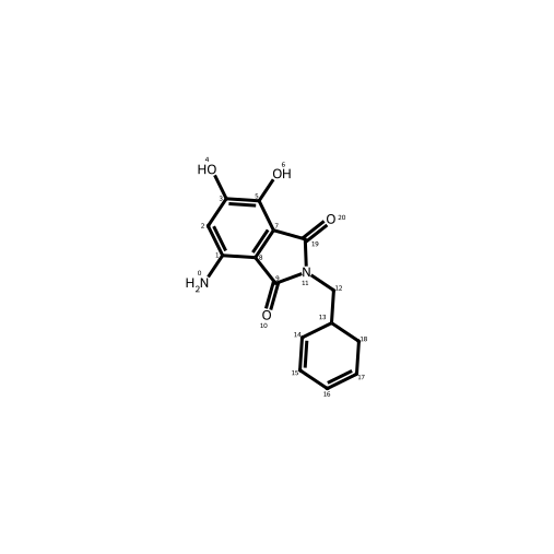 Nc1cc(O)c(O)c2c1C(=O)N(CC1C=CC=CC1)C2=O